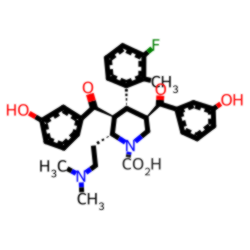 Cc1c(F)cccc1[C@H]1[C@H](C(=O)c2cccc(O)c2)[C@@H](CCN(C)C)N(C(=O)O)C[C@@H]1C(=O)c1cccc(O)c1